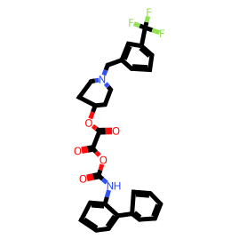 O=C(Nc1ccccc1-c1ccccc1)OC(=O)C(=O)OC1CCN(Cc2cccc(C(F)(F)F)c2)CC1